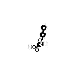 O=C(O)c1c[nH]c(OCc2ccc(-c3ccccc3)cc2)c1